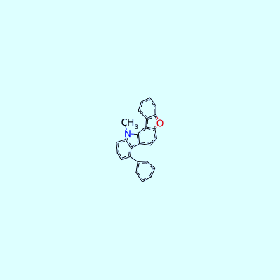 Cn1c2cccc(-c3ccccc3)c2c2ccc3oc4ccccc4c3c21